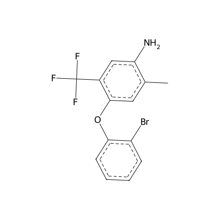 Cc1cc(Oc2ccccc2Br)c(C(F)(F)F)cc1N